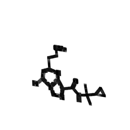 CCc1cc(CCOC)nc2c(C(=O)NC(C)(C)C3CC3)ncn12